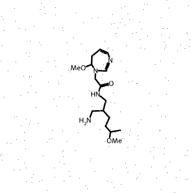 COC(C)CCC(CN)CNC(=O)CN1C=NC=CCC1OC